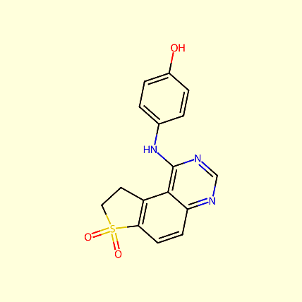 O=S1(=O)CCc2c1ccc1ncnc(Nc3ccc(O)cc3)c21